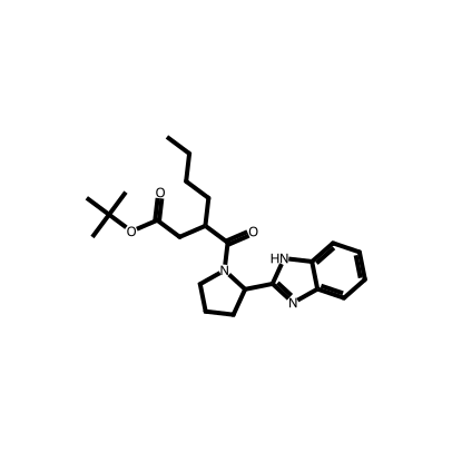 CCCCC(CC(=O)OC(C)(C)C)C(=O)N1CCCC1c1nc2ccccc2[nH]1